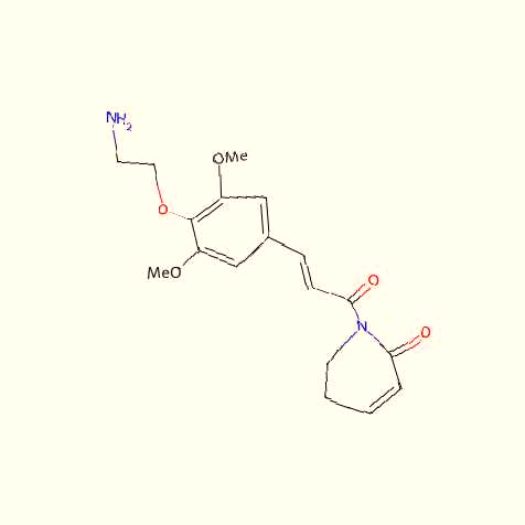 COc1cc(/C=C/C(=O)N2CCC=CC2=O)cc(OC)c1OCCN